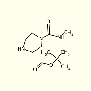 CC(C)(C)OC=O.CNC(=O)N1CCNCC1